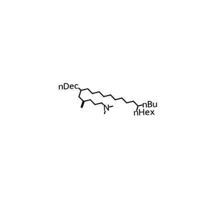 C=C(CCCN(C)C)CC(CCCCCCCCCC)CCCCCCCCCC(CCCC)CCCCCC